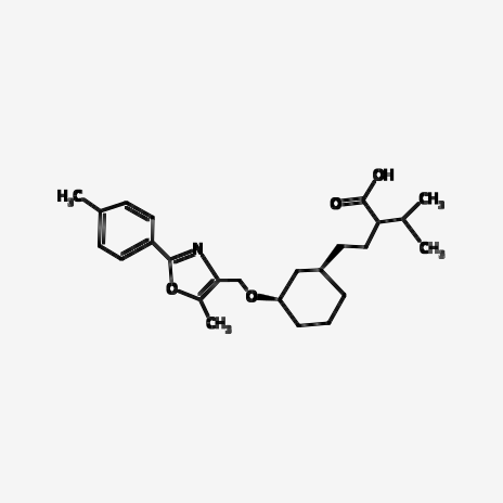 Cc1ccc(-c2nc(CO[C@@H]3CCC[C@H](CCC(C(=O)O)C(C)C)C3)c(C)o2)cc1